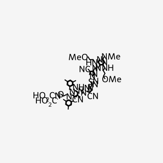 CNc1nc(NCCCOC)c(N=Nc2nn(-c3nnc(-n4cc(C#N)c(N=Nc5c(Nc6c(C)cc(C)cc6C)nc(N(CCON(CC(=O)O)CC(=O)O)c6c(C)cc(C)cc6C)c(C#N)c5C)n4)s3)cc2C#N)c(NCCCOC)n1